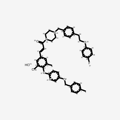 Cc1ccc(COc2ccc(Oc3c(C)cc(C=CC(=O)N4CCN(Cc5ccc(CCOc6ccc(F)cc6)cc5)CC4)cc3Cl)nc2)cc1.Cl